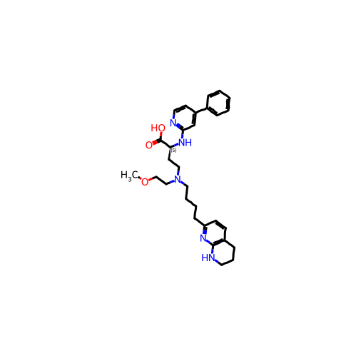 COCCN(CCCCc1ccc2c(n1)NCCC2)CC[C@H](Nc1cc(-c2ccccc2)ccn1)C(=O)O